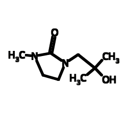 CN1CCN(CC(C)(C)O)C1=O